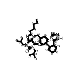 CCCCCc1nc2c(c(=O)n(CC(C)C)c(=O)n2CC(C)C)n1Cc1ccc(-c2ccccc2-c2nnn[nH]2)cc1